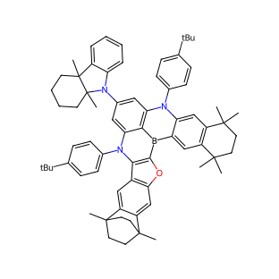 CC(C)(C)c1ccc(N2c3cc4c(cc3B3c5oc6cc7c(cc6c5N(c5ccc(C(C)(C)C)cc5)c5cc(N6c8ccccc8C8(C)CCCCC68C)cc2c53)C2(C)CCC7(C)CC2)C(C)(C)CCC4(C)C)cc1